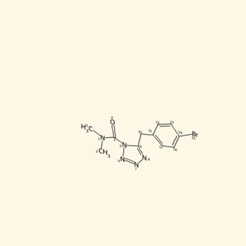 CN(C)C(=O)n1nnnc1Cc1ccc(Br)cc1